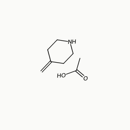 C=C1CCNCC1.CC(=O)O